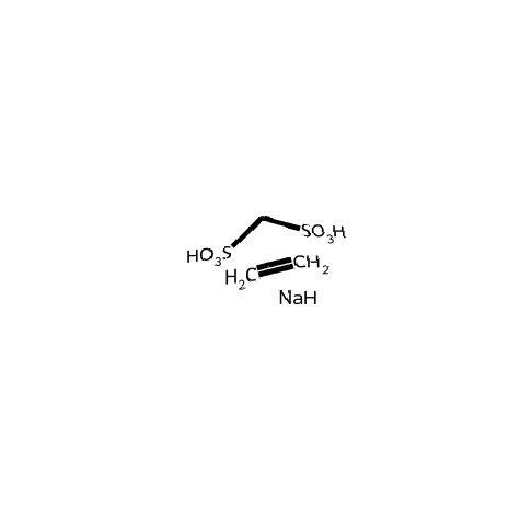 C=C.O=S(=O)(O)CS(=O)(=O)O.[NaH]